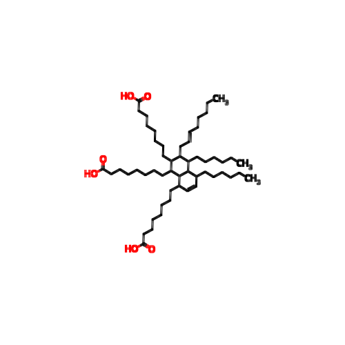 CCCCCC=CCC1C(CCCCCCCC(=O)O)C(CCCCCCCC(=O)O)C2C(CCCCCCCC(=O)O)C=CC(CCCCCC)C2C1CCCCCC